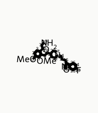 COc1ccc2c(c1OC)CC(C1CCN(CCCc3noc4cc(F)ccc34)CC1)OC2CN